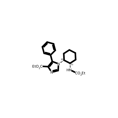 CCOC(=O)N[C@H]1CCCC[C@H]1n1cnc(C(=O)OCC)c1-c1ccccc1